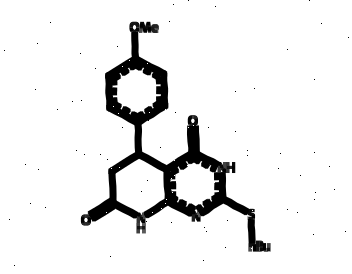 CCCCSc1nc2c(c(=O)[nH]1)C(c1ccc(OC)cc1)CC(=O)N2